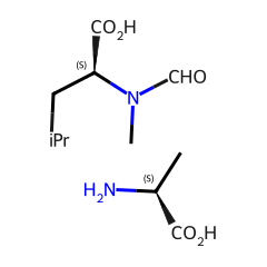 CC(C)C[C@@H](C(=O)O)N(C)C=O.C[C@H](N)C(=O)O